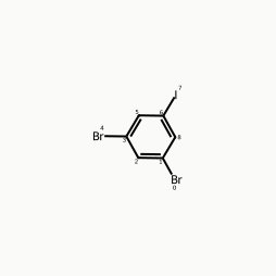 Brc1cc(Br)cc(I)c1